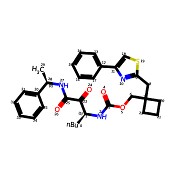 CCCC[C@H](NC(=O)OCC1(Cc2nc(-c3ccccc3)cs2)CCC1)C(=O)C(=O)N[C@H](C)c1ccccc1